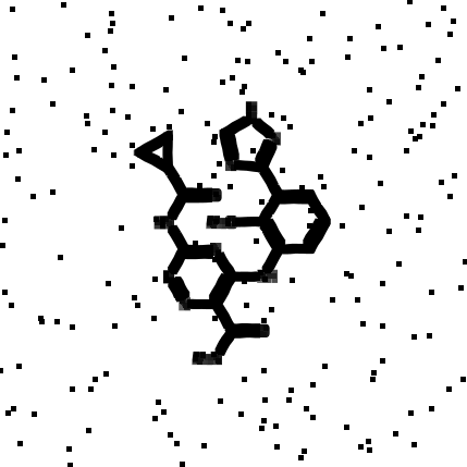 CNC(=O)c1nnc(NC(=O)C2CC2)nc1Nc1cccc(-c2nc[nH]n2)c1OC